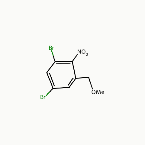 COCc1cc(Br)cc(Br)c1[N+](=O)[O-]